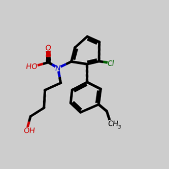 CCc1cccc(-c2c(Cl)cccc2N(CCCCO)C(=O)O)c1